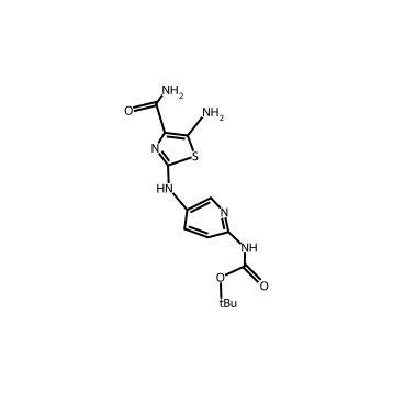 CC(C)(C)OC(=O)Nc1ccc(Nc2nc(C(N)=O)c(N)s2)cn1